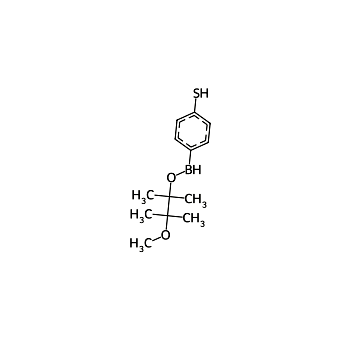 COC(C)(C)C(C)(C)OBc1ccc(S)cc1